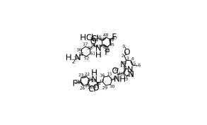 COCc1cc(C)n2ncc(C(=O)N[C@H]3CC[C@H](C(=O)Nc4ccc(F)cc4Cl)CC3)c2n1.Cl.N[C@H]1CC[C@H](C(=O)Nc2c(F)cc(F)cc2Cl)CC1